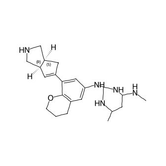 CNC1CC(C)NC(Nc2cc3c(c(C4=C[C@H]5CNC[C@H]5C4)c2)OCCC3)N1